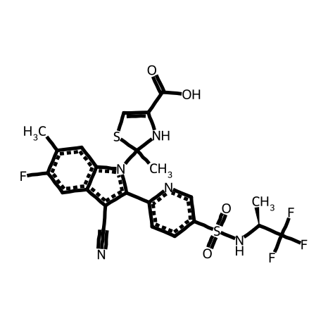 Cc1cc2c(cc1F)c(C#N)c(-c1ccc(S(=O)(=O)N[C@@H](C)C(F)(F)F)cn1)n2C1(C)NC(C(=O)O)=CS1